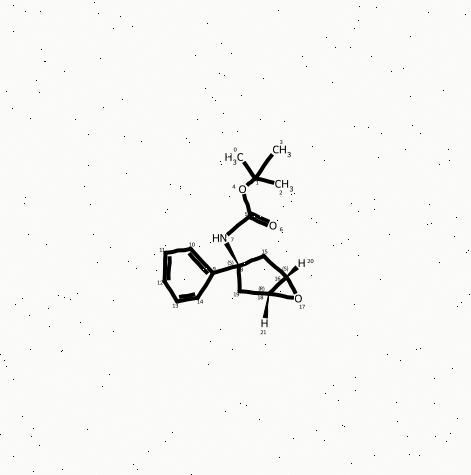 CC(C)(C)OC(=O)N[C@@]1(c2ccccc2)C[C@@H]2O[C@@H]2C1